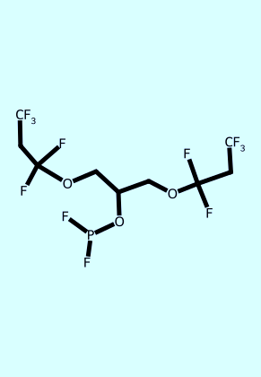 FP(F)OC(COC(F)(F)CC(F)(F)F)COC(F)(F)CC(F)(F)F